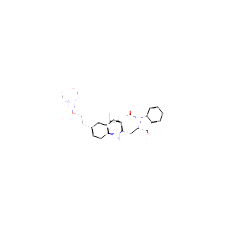 CC(=O)N1/C(=C\c2ccc3cc(CCC(=O)N4CCOCC4)ccc3n2)C(=O)c2ccccc21